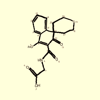 O=C(O)CNC(=O)C1=C(O)c2ccccc2C2(CCOCC2)C1=O